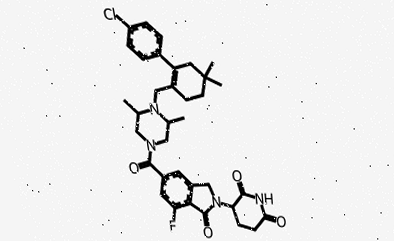 CC1CN(C(=O)c2cc(F)c3c(c2)CN(C2CCC(=O)NC2=O)C3=O)CC(C)N1CC1=C(c2ccc(Cl)cc2)CC(C)(C)CC1